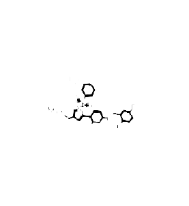 CNCc1cc(-c2ccc(OCc3cc(F)ccc3F)cc2F)n(S(=O)(=O)c2cccc(C(F)(F)F)c2)c1